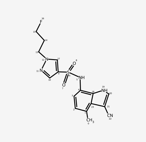 Cc1ccc(NS(=O)(=O)c2cnn(CCCF)c2)c2[nH]cc(C#N)c12